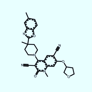 Cc1ccc2oc(C3(C)CCN(c4c(C#N)c(=O)n(C)c5cc(OC6CCOC6)c(C#N)cc45)CC3)nc2c1